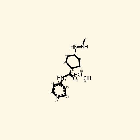 CNN[C@H]1CC[C@@H](C(=O)Nc2ccncc2)CC1.Cl.Cl